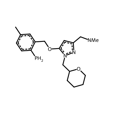 CNCc1cc(OCc2cc(C)ccc2P)n(CC2CCCCO2)n1